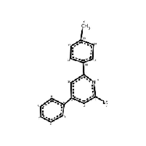 CCc1cc(-c2ccccc2)cc(-c2ccc(C)cc2)n1